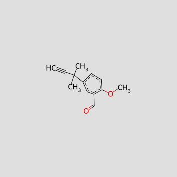 C#CC(C)(C)c1ccc(OC)c(C=O)c1